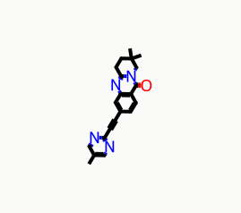 Cc1cnc(C#Cc2ccc3c(=O)n4c(nc3c2)CCC(C)(C)C4)nc1